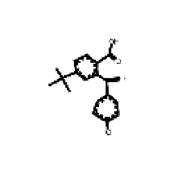 CC(C)(C)c1ccc(C(=O)O)c(C(=O)c2ccc(Cl)cc2)c1